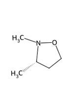 C[C@H]1CCON1C